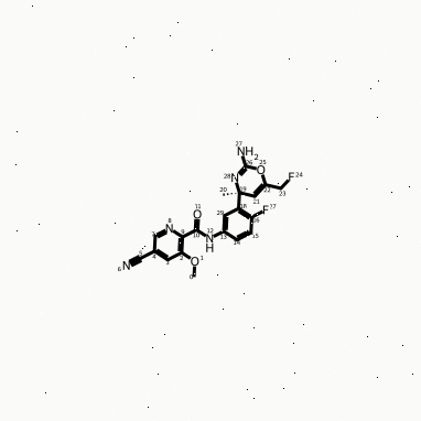 COc1cc(C#N)cnc1C(=O)Nc1ccc(F)c([C@]2(C)C=C(CF)OC(N)=N2)c1